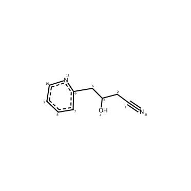 N#CCC(O)Cc1ccccn1